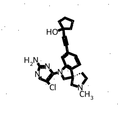 CN1CC[C@]2(C1)CN(c1nc(N)ncc1Cl)c1cc(C#CC3(O)CCCC3)ccc12